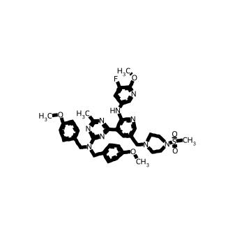 COc1ccc(CN(Cc2ccc(OC)cc2)c2nc(C)nc(-c3cc(CN4CCN(S(C)(=O)=O)CC4)cnc3Nc3cnc(OC)c(F)c3)n2)cc1